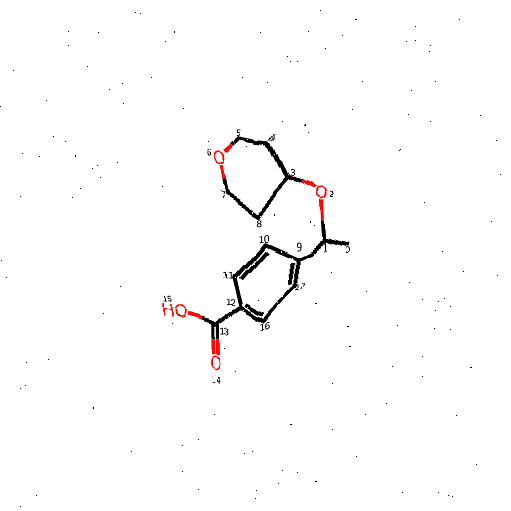 CC(OC1CCOCC1)c1ccc(C(=O)O)cc1